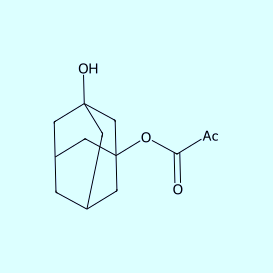 CC(=O)C(=O)OC12CC3CC(CC(O)(C3)C1)C2